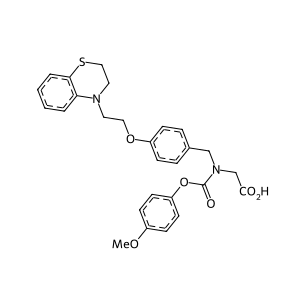 COc1ccc(OC(=O)N(CC(=O)O)Cc2ccc(OCCN3CCSc4ccccc43)cc2)cc1